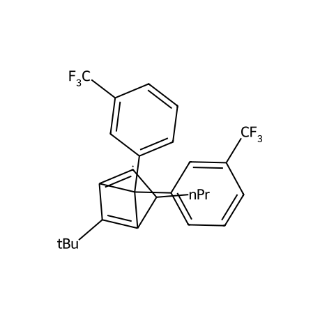 CCCC1[C]=C2C(C(C)(C)C)=C1C2(c1cccc(C(F)(F)F)c1)c1cccc(C(F)(F)F)c1